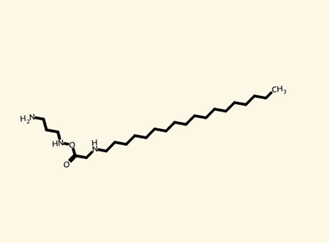 CCCCCCCCCCCCCCCCCCNCC(=O)ONCCCN